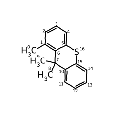 Cc1cccc2c1C(C)(C)c1ccccc1S2